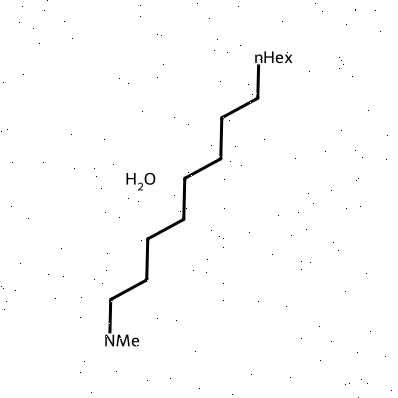 CCCCCCCCCCCCCCNC.O